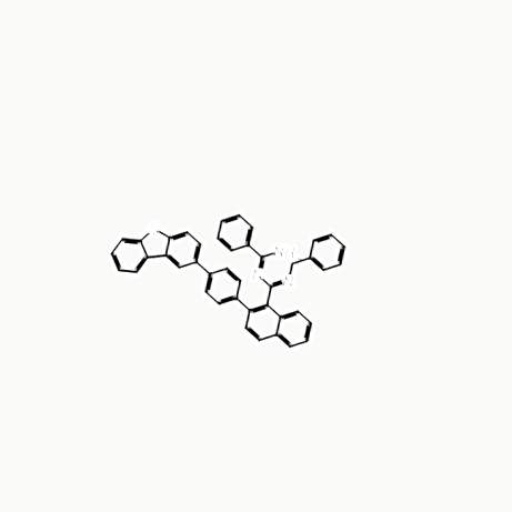 N/C(=N\C(=N/Cc1ccccc1)c1c(-c2ccc(-c3ccc4sc5ccccc5c4c3)cc2)ccc2ccccc12)c1ccccc1